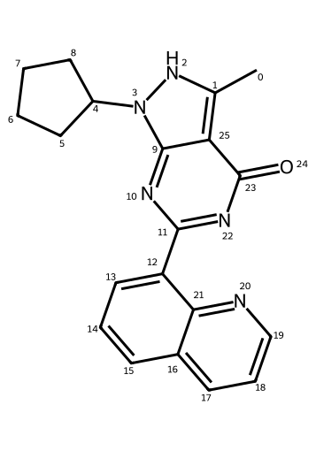 Cc1[nH]n(C2CCCC2)c2nc(-c3cccc4cccnc34)nc(=O)c1-2